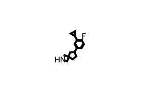 Fc1ccc(C2CCC3(CNC3)C2)cc1C1CC1